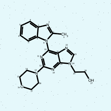 Cc1nc2ccccc2n1-c1nc(N2CCOCC2)nc2c1ncn2CCO